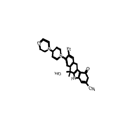 CCc1cc2c(cc1N1CCC(N3CCOCC3)CC1)C(C)(C)c1[nH]c3c(c1C2)C(=O)CC(C#N)=C3.Cl